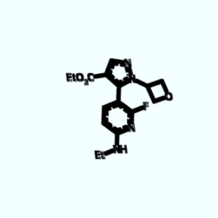 CCNc1ccc(-c2c(C(=O)OCC)cnn2C2COC2)c(F)n1